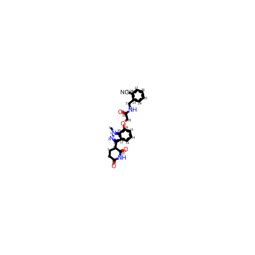 Cn1nc(C2CCC(=O)NC2=O)c2cccc(OCC(=O)NCc3ccccc3C#N)c21